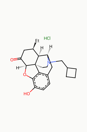 CC[C@@H]1CC(=O)[C@@H]2Oc3c(O)ccc4c3[C@@]23CCN(CC2CCC2)[C@H](C4)[C@H]13.Cl